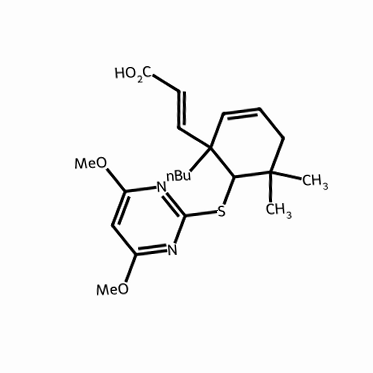 CCCCC1(C=CC(=O)O)C=CCC(C)(C)C1Sc1nc(OC)cc(OC)n1